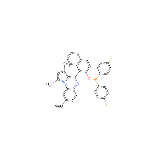 COc1ccc2nc(-c3c(OP(c4ccc(F)cc4)c4ccc(F)cc4)ccc4ccccc34)c3c(C)cc(C)n3c2c1